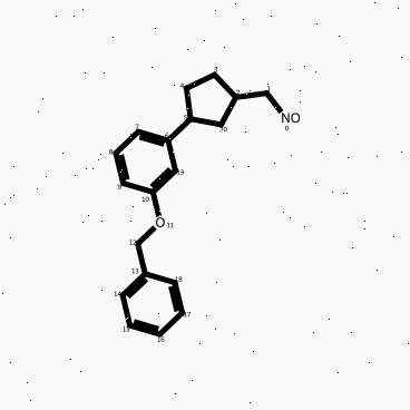 O=NCC1CCC(c2cccc(OCc3ccccc3)c2)C1